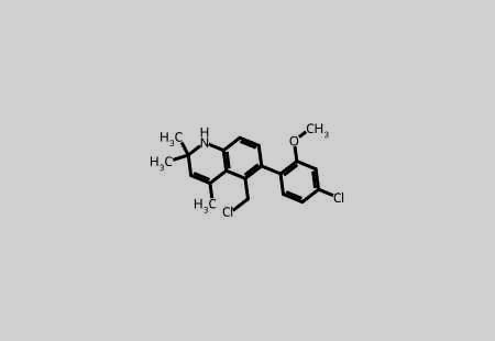 COc1cc(Cl)ccc1-c1ccc2c(c1CCl)C(C)=CC(C)(C)N2